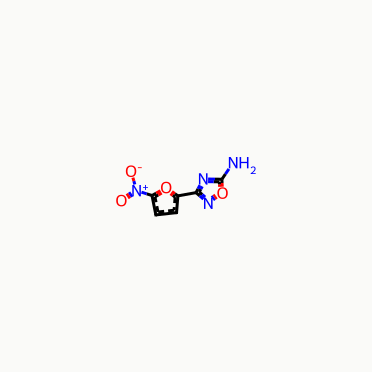 Nc1nc(-c2ccc([N+](=O)[O-])o2)no1